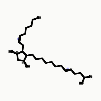 CCC(O)CC/C=C/CCCCCCCC1C(C/C=C\CCCCO)[C@H](O)C[C@@H]1O